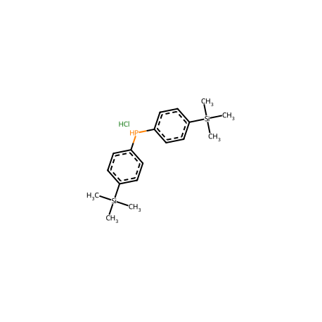 C[Si](C)(C)c1ccc(Pc2ccc([Si](C)(C)C)cc2)cc1.Cl